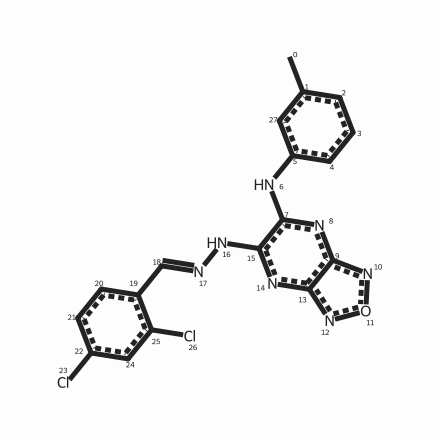 Cc1cccc(Nc2nc3nonc3nc2NN=Cc2ccc(Cl)cc2Cl)c1